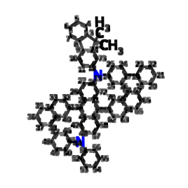 CC1(C)c2ccccc2-c2ccc(N(c3ccc(-c4ccccc4)cc3)c3ccc4c(-c5ccc6ccccc6c5)c5cc(N(c6ccccc6)c6ccccc6)ccc5c(-c5ccc6ccccc6c5)c4c3)cc21